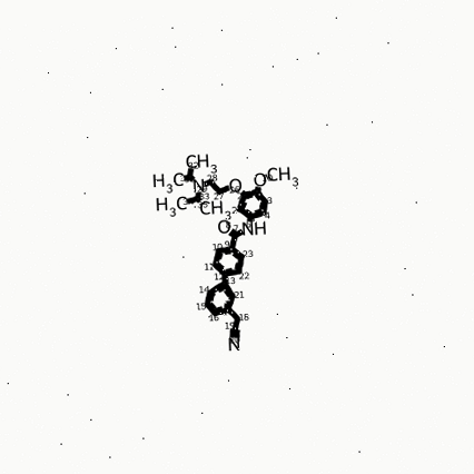 COc1ccc(NC(=O)c2ccc(-c3cccc(CC#N)c3)cc2)cc1OCCN(C(C)C)C(C)C